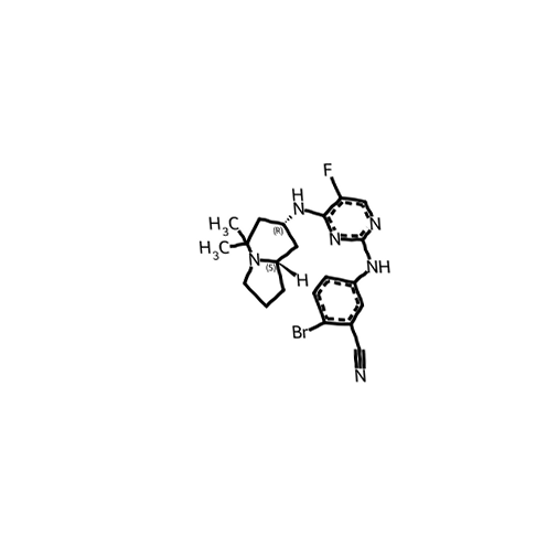 CC1(C)C[C@H](Nc2nc(Nc3ccc(Br)c(C#N)c3)ncc2F)C[C@@H]2CCCN21